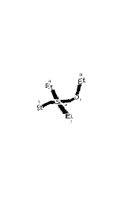 CCOS(CC)(CC)CC